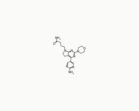 NC(=O)CCCN1CCc2c(-c3cnc(N)nc3)nc(N3CCOCC3)nc21